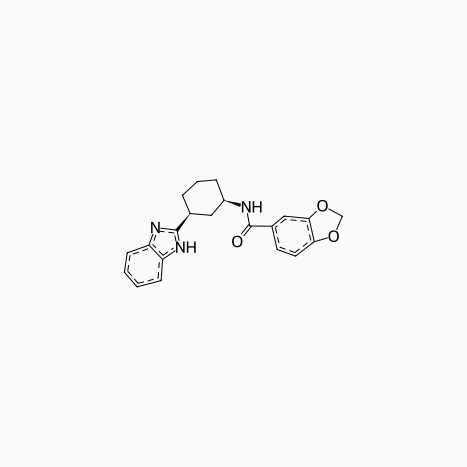 O=C(N[C@@H]1CCC[C@H](c2nc3ccccc3[nH]2)C1)c1ccc2c(c1)OCO2